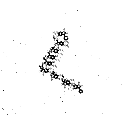 C=CCC1(CC=C)C(=O)Nc2cc(N)c(N)cc21.C=CCC1C(=O)Nc2cc(N)c(N)cc21.CC(=O)C1(C)C(=O)Nc2cc(N)c(N)cc21.CC(=O)C1C(=O)Nc2cc(N)c(N)cc21.CC1(C#N)C(=O)Nc2cc(N)c(N)cc21.CCOC(=O)C1(CC)C(=O)Nc2cc(N)c(N)cc21.CCOC(=O)C1C(=O)Nc2cc(N)c(N)cc21.Nc1cc2c(cc1N)C(C1CCCC1)C(=O)N2.Nc1cc2c(cc1N)C(C1CCCCC1)C(=O)N2